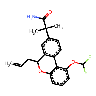 C=CCC1Oc2cccc(OC(F)F)c2-c2ccc(C(C)(C)C(N)=O)cc21